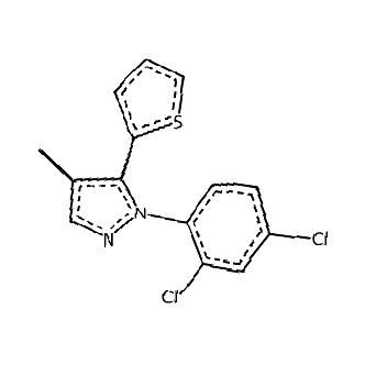 Cc1cnn(-c2ccc(Cl)cc2Cl)c1-c1cccs1